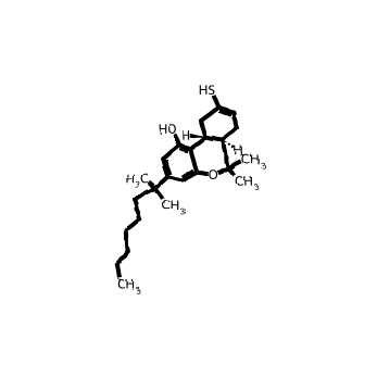 CCCCCCC(C)(C)c1cc(O)c2c(c1)OC(C)(C)[C@@H]1CC=C(S)C[C@@H]21